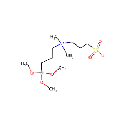 CO[Si](CCC[N+](C)(C)CCCS(=O)(=O)[O-])(OC)OC